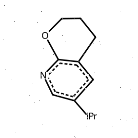 CC(C)c1cnc2c(c1)CCCO2